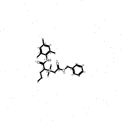 CCCC(C(=O)Nc1c(C)cc(C)cc1C)[N+](C)(C)CC(=O)OCc1ccccc1